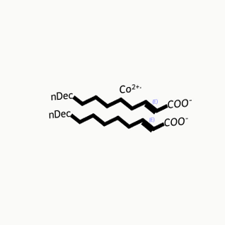 CCCCCCCCCCCCCCC/C=C/C(=O)[O-].CCCCCCCCCCCCCCC/C=C/C(=O)[O-].[Co+2]